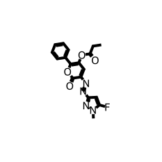 CCC(=O)Oc1cc(N=Nc2cc(F)n(C)n2)c(=O)oc1-c1ccccc1